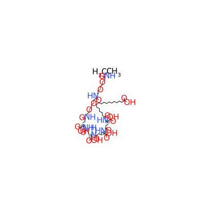 CC(C)NC(=O)COCCOCCNC(=O)COCCOCCNC(=O)CC[C@H](NC(=O)CC[C@H](NC(=O)CC[C@H](NC(=O)CC[C@H](NC(=O)CCCCCCCCCCCCCCCCC(=O)O)C(=O)O)C(=O)O)C(=O)O)C(=O)O